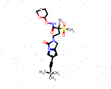 CC(CCN1Cc2cc(C#C[Si](C)(C)C)cn2C1=O)(C(=O)NOC1CCCCO1)S(C)(=O)=O